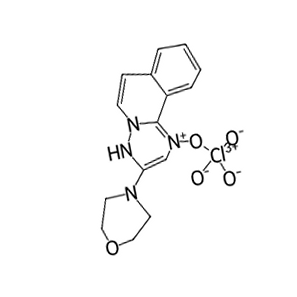 [O-][Cl+3]([O-])([O-])O[N+]1=C2c3ccccc3C=CN2NC(N2CCOCC2)=C1